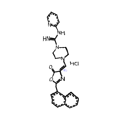 Cl.N=C(Nc1ccccn1)N1CCN(/C=C2/N=C(c3cccc4ccccc34)OC2=O)CC1